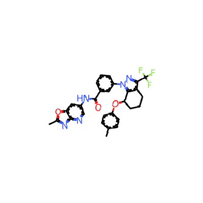 Cc1ccc(OC2CCCc3c(C(F)(F)F)nn(-c4cccc(C(=O)Nc5cnc6nc(C)oc6c5)c4)c32)cc1